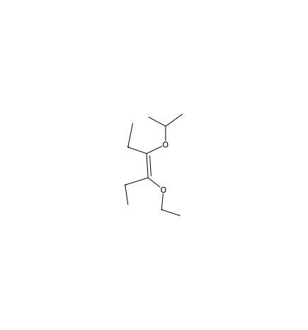 CCO/C(CC)=C(/CC)OC(C)C